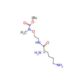 CN(OCCNC(=O)[C@@H](N)CCCCN)C(=O)OC(C)(C)C